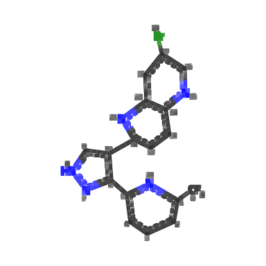 FC(F)(F)c1cccc(-c2n[nH]cc2-c2ccc3ncc(Br)cc3n2)n1